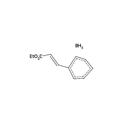 B.CCOC(=O)C=Cc1ccccc1